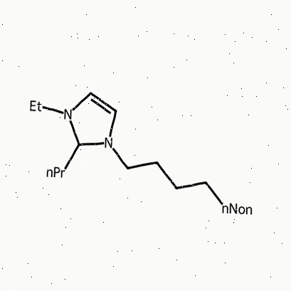 CCCCCCCCCCCCCN1C=CN(CC)C1CCC